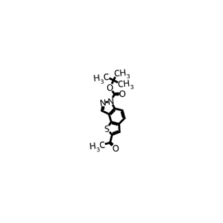 CC(=O)c1cc2ccc3c(cnn3C(=O)OC(C)(C)C)c2s1